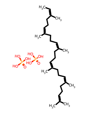 CC=C(C)CCC=C(C)CCC=C(C)CCC=C(C)CCC=C(C)CCC=C(C)C.O=P(O)(O)O.O=P(O)(O)O